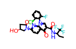 CCC(NC(=O)c1cn(-c2c(F)cccc2Cl)c2nc(N3C[C@@H](O)CC3=O)ccc2c1=O)C(F)(F)F